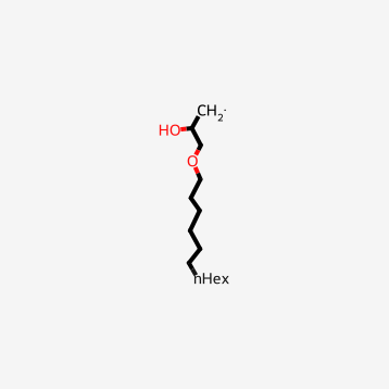 [CH2]C(O)COCCCCCCCCCCCC